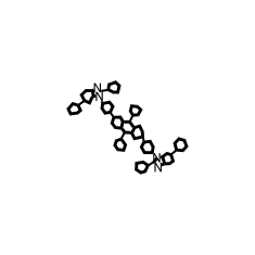 c1ccc(-c2ccc3nc(-c4ccccc4)n(-c4ccc(-c5ccc6c(-c7ccccc7)c7cc(-c8ccc(-n9c(-c%10ccccc%10)nc%10ccc(-c%11ccccc%11)cc%109)cc8)ccc7c(-c7ccccc7)c6c5)cc4)c3c2)cc1